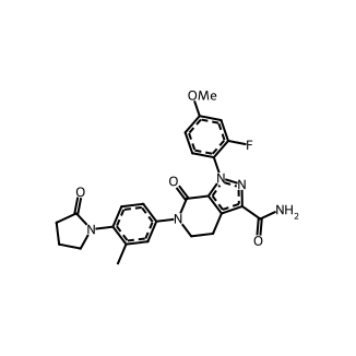 COc1ccc(-n2nc(C(N)=O)c3c2C(=O)N(c2ccc(N4CCCC4=O)c(C)c2)CC3)c(F)c1